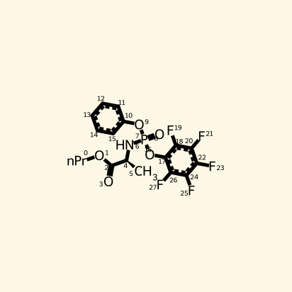 CCCOC(=O)[C@H](C)NP(=O)(Oc1ccccc1)Oc1c(F)c(F)c(F)c(F)c1F